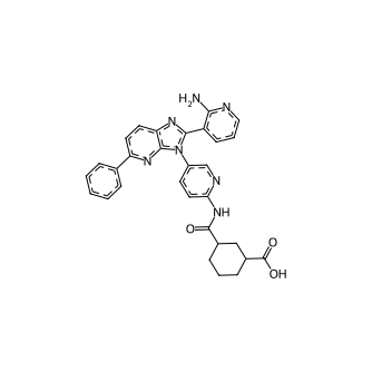 Nc1ncccc1-c1nc2ccc(-c3ccccc3)nc2n1-c1ccc(NC(=O)C2CCCC(C(=O)O)C2)nc1